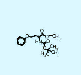 CCOC(=O)[C@H](CCOc1ccccc1)NC(=O)OC(C)(C)C